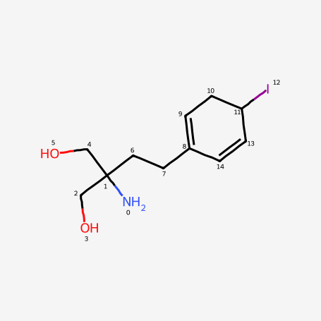 NC(CO)(CO)CCC1=CCC(I)C=C1